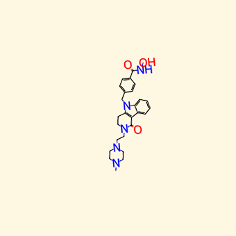 CN1CCN(CCN2CCc3c(c4ccccc4n3Cc3ccc(C(=O)NO)cc3)C2=O)CC1